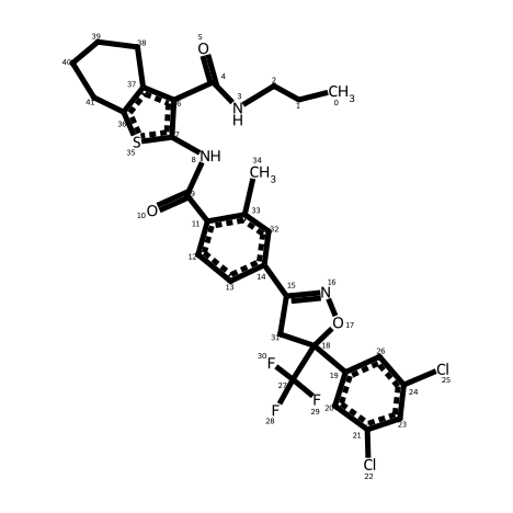 CCCNC(=O)c1c(NC(=O)c2ccc(C3=NOC(c4cc(Cl)cc(Cl)c4)(C(F)(F)F)C3)cc2C)sc2c1CCCC2